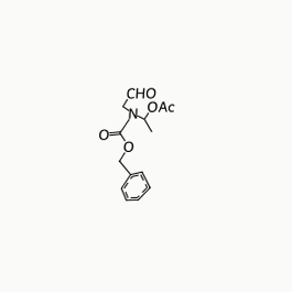 CC(=O)OC(C)N(CC=O)C(=O)OCc1ccccc1